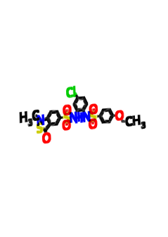 CCOc1ccc(S(=O)(=O)Nc2ccc(Cl)cc2NS(=O)(=O)c2ccc3c(c2)c(=O)sn3C)cc1